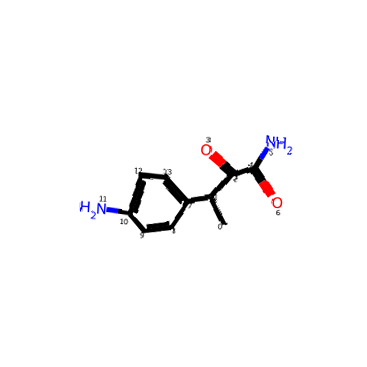 CC(C(=O)C(N)=O)c1ccc(N)cc1